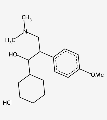 COc1ccc(C(CN(C)C)C(O)C2CCCCC2)cc1.Cl